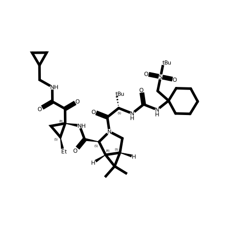 CC[C@H]1C[C@]1(NC(=O)[C@@H]1[C@@H]2[C@H](CN1C(=O)[C@@H](NC(=O)NC1(CS(=O)(=O)C(C)(C)C)CCCCC1)C(C)(C)C)C2(C)C)C(=O)C(=O)NCC1CC1